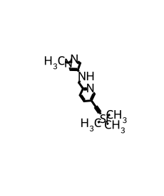 Cn1cc(NCc2ccc(C#C[Si](C)(C)C)cn2)cn1